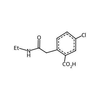 CCNC(=O)Cc1ccc(Cl)cc1C(=O)O